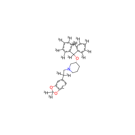 [2H]c1c([2H])c([2H])c(C([2H])(O[C@@H]2CCCN(CC([2H])([2H])c3ccc4c(c3)OC([2H])([2H])O4)C2)c2c([2H])c([2H])c([2H])c([2H])c2[2H])c([2H])c1[2H]